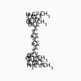 Cc1cc(C)c(N2c3ccccc3S(=O)(=O)c3cc(C=Cc4ccc(-c5ccc(C=Cc6ccc7c(c6)S(=O)(=O)c6ccccc6N7c6c(C)cc(C)cc6C)cc5)cc4)ccc32)c(C)c1